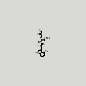 CC(C)OC(=O)[C@H](CCC(=O)C=N)NC(=O)[C@@H](O)Cc1c[nH]c2cccc(C#N)c12